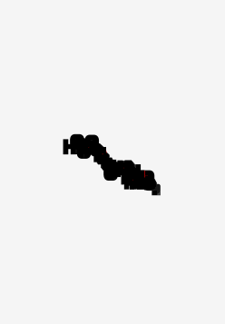 Nc1ncnc2c1c(-c1ccc(Oc3ccccc3)cc1)nn2[C@@H]1CCCN(C2CCN(C(=O)N3CCC(C4CCN(c5ccc6c(c5)CN(C5CCC(=O)NC5=O)C6=O)CC4)CC3)CC2)C1